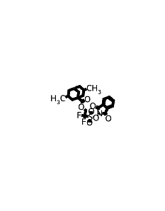 CC1CC2CC(C)CC(C(=O)OCC(F)(F)S(=O)(=O)ON3C(=O)c4ccccc4C3=O)(C1)C2